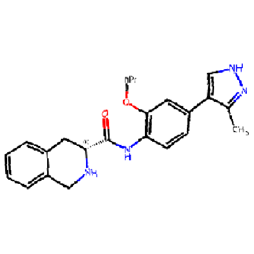 CCCOc1cc(-c2c[nH]nc2C)ccc1NC(=O)[C@H]1Cc2ccccc2CN1